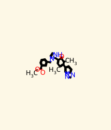 COC(=O)c1cccc(CN2C=CNC2C2=CC(C)=C(c3ccc4ncnn4c3)C(C)C2=O)c1